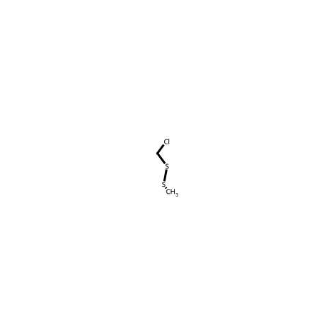 CSSCCl